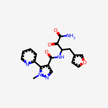 Cn1ncc(C(=O)NC(Cc2ccoc2)C(=O)C(N)=O)c1-c1ccccn1